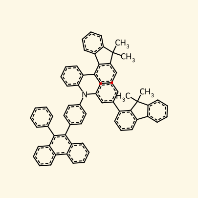 CC1(C)c2ccccc2-c2c(-c3ccccc3N(c3ccc(-c4c(-c5ccccc5)c5ccccc5c5ccccc45)cc3)c3cccc(-c4cccc5c4C(C)(C)c4ccccc4-5)c3)cccc21